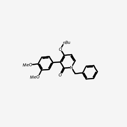 CCCCOc1ccn(Cc2ccccc2)c(=O)c1-c1ccc(OC)c(OC)c1